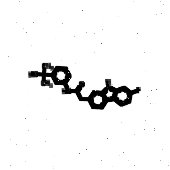 CC(C)(O)c1cccc(NC(=O)Cc2ccc3c(c2)[nH]c2cc(F)ccc23)c1